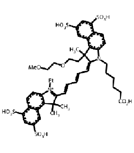 CC[N+]1=C(/C=C/C=C/C=C2/N(CCCCCC(=O)O)c3ccc4c(S(=O)(=O)O)cc(S(=O)(=O)O)cc4c3C2(C)CCOCCOC)C(C)(C)c2c1ccc1c(S(=O)(=O)O)cc(S(=O)(=O)O)cc21